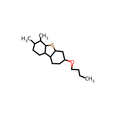 CCCCOC1CCC2C(C1)SC1C(C)C(C)CCC21